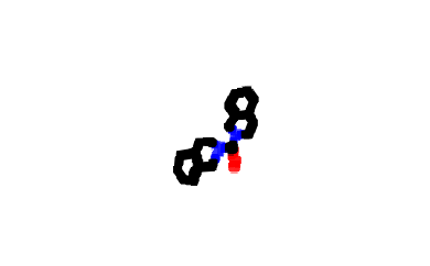 O=C(N1CCC2CCCC=C2C1)N1CCC2CCCC=C2C1